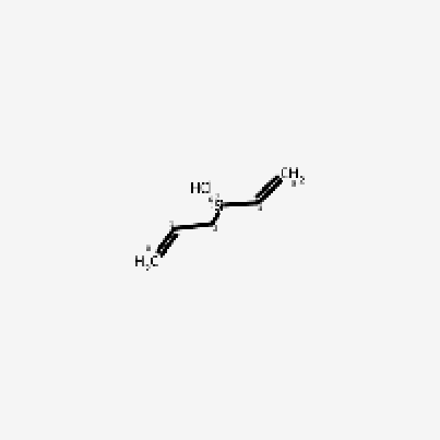 C=CC[Si]C=C.Cl